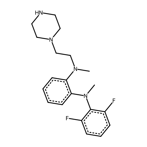 CN(CCN1CCNCC1)c1ccccc1N(C)c1c(F)cccc1F